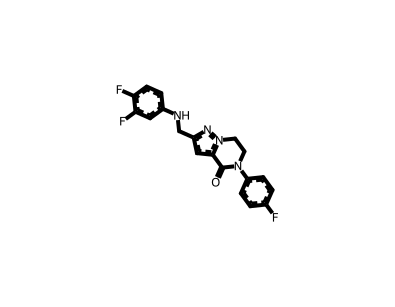 O=C1c2cc(CNc3ccc(F)c(F)c3)nn2CCN1c1ccc(F)cc1